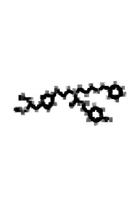 CCOC(Cc1ccc(OCCN(CCCSCc2ccccc2)C(=O)NCc2ccc(F)cc2)cc1)C(=O)O